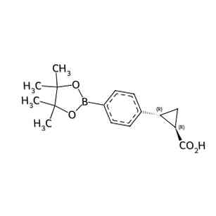 CC1(C)OB(c2ccc([C@@H]3C[C@H]3C(=O)O)cc2)OC1(C)C